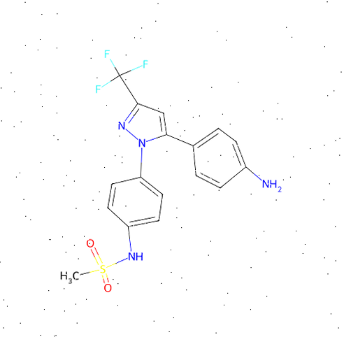 CS(=O)(=O)Nc1ccc(-n2nc(C(F)(F)F)cc2-c2ccc(N)cc2)cc1